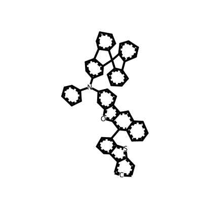 c1ccc(N(c2ccc3c(c2)C2(c4ccccc4-c4ccccc42)c2ccccc2-3)c2ccc3c(c2)oc2c(-c4cccc5c4sc4ccccc45)c4ccccc4cc23)cc1